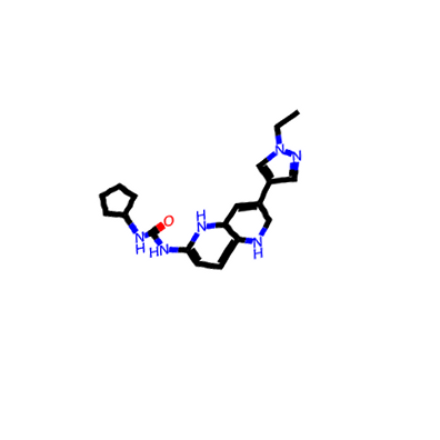 CCn1cc(C2=CC3NC(NC(=O)NC4CCCC4)=CC=C3NC2)cn1